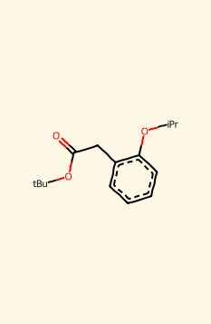 CC(C)Oc1ccccc1CC(=O)OC(C)(C)C